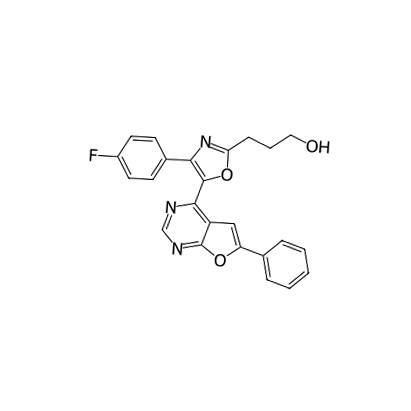 OCCCc1nc(-c2ccc(F)cc2)c(-c2ncnc3oc(-c4ccccc4)cc23)o1